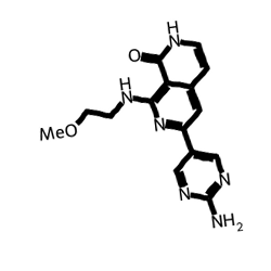 COCCNc1nc(-c2cnc(N)nc2)cc2cc[nH]c(=O)c12